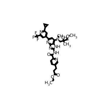 CCOC(=O)CCc1ccc(C(=O)Nc2nc3nc(-c4cc(C5CC5)nc(C(F)(F)F)c4)cc(N(C)CC(C)(C)COC)c3[nH]2)nc1